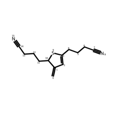 C=C1C=C(CCCC#N)SC1CCCC#N